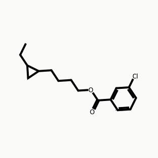 CCC1CC1CCCCOC(=O)c1[c]ccc(Cl)c1